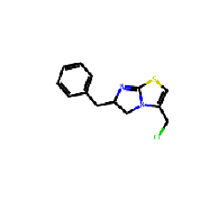 ClCC1=CSC2=NC(Cc3ccccc3)CN12